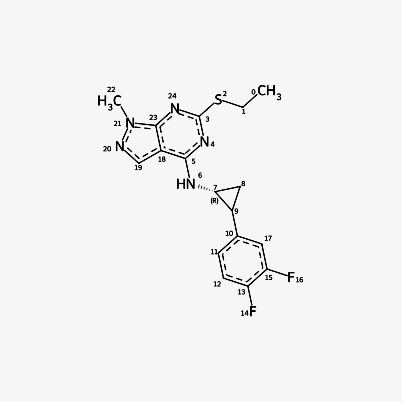 CCSc1nc(N[C@@H]2CC2c2ccc(F)c(F)c2)c2cnn(C)c2n1